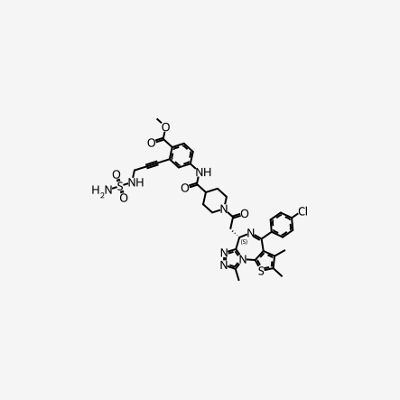 COC(=O)c1ccc(NC(=O)C2CCN(C(=O)C[C@@H]3N=C(c4ccc(Cl)cc4)c4c(sc(C)c4C)-n4c(C)nnc43)CC2)cc1C#CCNS(N)(=O)=O